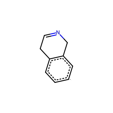 [c]1ccc2c(c1)CN=CC2